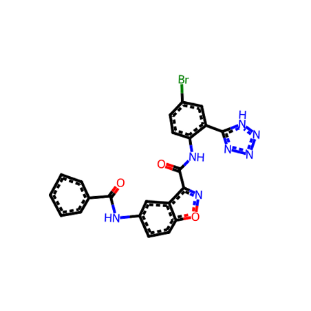 O=C(Nc1ccc2onc(C(=O)Nc3ccc(Br)cc3-c3nnn[nH]3)c2c1)c1ccccc1